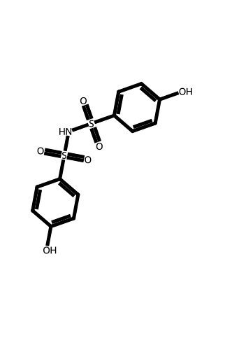 O=S(=O)(NS(=O)(=O)c1ccc(O)cc1)c1ccc(O)cc1